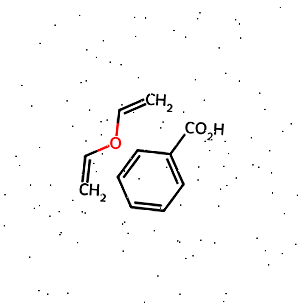 C=COC=C.O=C(O)c1ccccc1